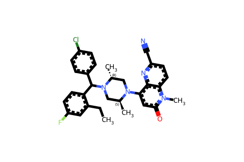 CCc1cc(F)ccc1C(c1ccc(Cl)cc1)N1C[C@H](C)N(c2cc(=O)n(C)c3ccc(C#N)nc23)C[C@H]1C